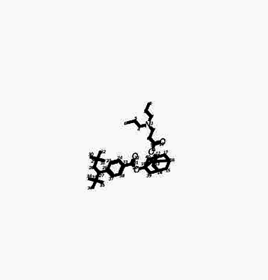 CCCN(CCC)CCC(=O)OC12CC3CC(C1)CC(OC(=O)c1ccc(C(CC(C)(C)C)C(C)(C)C)cc1)(C3)C2